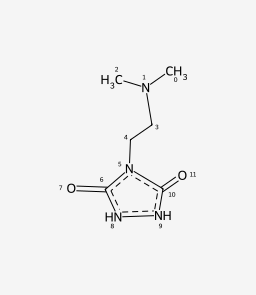 CN(C)CCn1c(=O)[nH][nH]c1=O